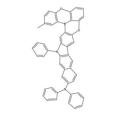 Cc1ccc2c(c1)B1c3cc4c(cc3Oc3cccc(c31)O2)c1cc2ccc(N(c3ccccc3)c3ccccc3)cc2cc1n4-c1ccccc1